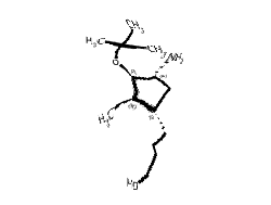 C[C@@H]1[C@@H](CCCO)C[C@@H](N)[C@@H]1OC(C)(C)C